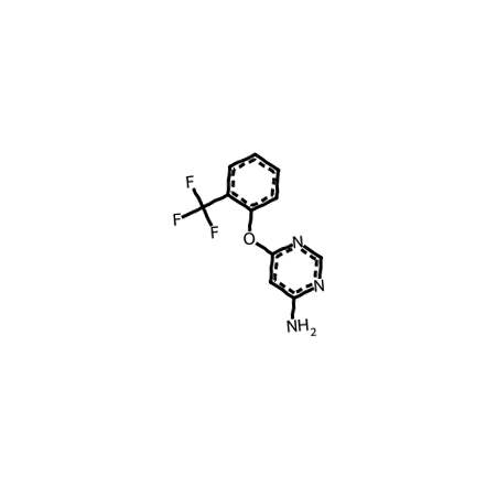 Nc1cc(Oc2ccccc2C(F)(F)F)ncn1